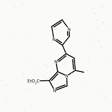 CCOC(=O)c1ncn2c(C)cc(-c3cnccn3)nc12